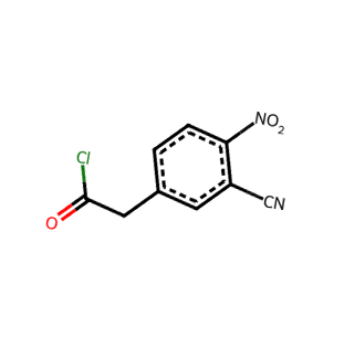 N#Cc1cc(CC(=O)Cl)ccc1[N+](=O)[O-]